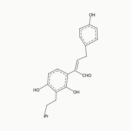 CC(C)CCc1c(O)ccc(C(C=O)=CCc2ccc(O)cc2)c1O